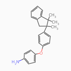 CC1(C)c2ccccc2CC1(C)c1ccc(Oc2ccc(N)cc2)cc1